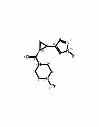 CC(C)N1CCN(C(=O)[C@H]2CC2c2cnn(C)c2)CC1